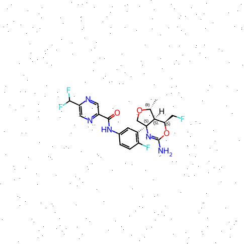 C[C@H]1OC[C@]2(c3cc(NC(=O)c4cnc(C(F)F)cn4)ccc3F)N=C(N)O[C@H](CF)[C@H]12